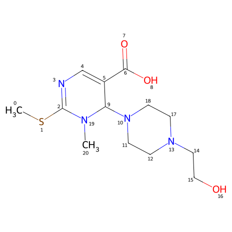 CSC1=NC=C(C(=O)O)C(N2CCN(CCO)CC2)N1C